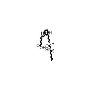 CCCCCC(=S)NCC(=O)NCCCC[C@H]1[C@@H](C/C=C\CCCC(=O)O)[C@H]2CC[C@@H]1O2